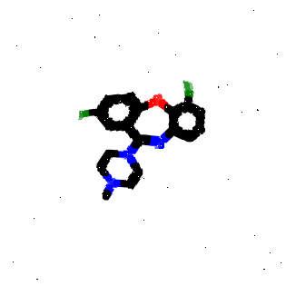 CN1CCN(C2=Nc3cccc(F)c3Oc3ccc(F)cc32)CC1